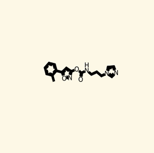 Cc1ccccc1-c1cc(OC(=O)NCCCn2ccnc2)no1